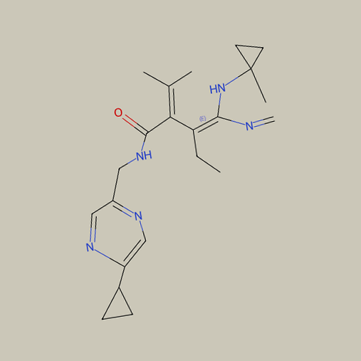 C=N/C(NC1(C)CC1)=C(\CC)C(C(=O)NCc1cnc(C2CC2)cn1)=C(C)C